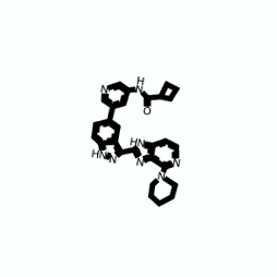 O=C(Nc1cncc(-c2ccc3[nH]nc(-c4nc5c(N6CCCCC6)nccc5[nH]4)c3c2)c1)C1CCC1